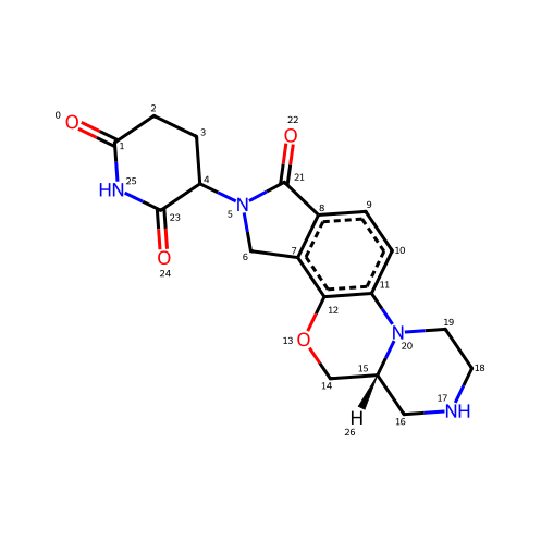 O=C1CCC(N2Cc3c(ccc4c3OC[C@H]3CNCCN43)C2=O)C(=O)N1